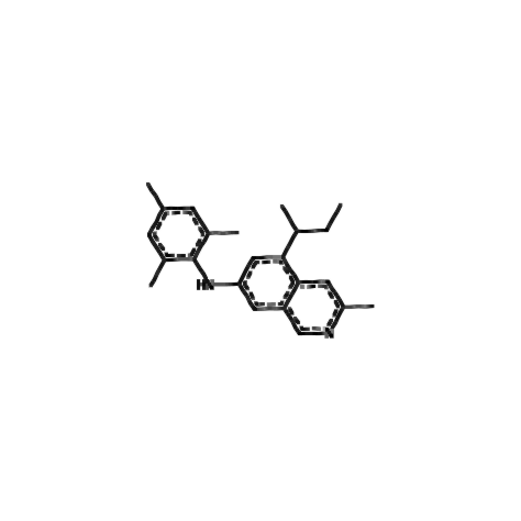 CCC(C)c1cc(Nc2c(C)cc(C)cc2C)cc2cnc(C)cc12